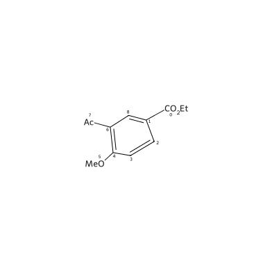 CCOC(=O)c1ccc(OC)c(C(C)=O)c1